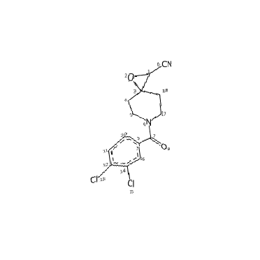 N#CC1OC12CCN(C(=O)c1ccc(Cl)c(Cl)c1)CC2